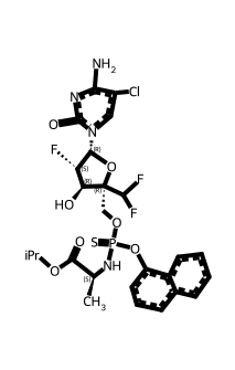 CC(C)OC(=O)[C@H](C)NP(=S)(OC[C@@]1(C(F)F)O[C@@H](n2cc(Cl)c(N)nc2=O)[C@@H](F)[C@@H]1O)Oc1cccc2ccccc12